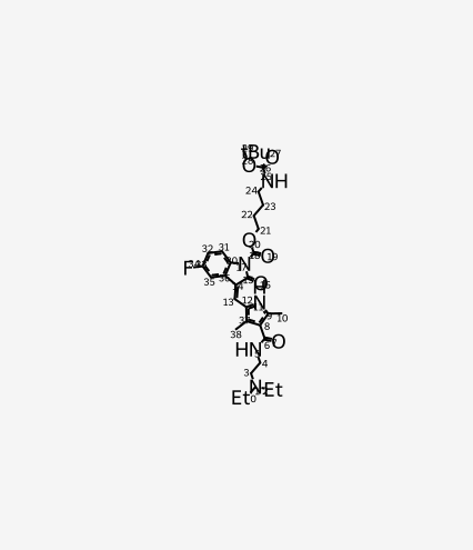 CCN(CC)CCNC(=O)c1c(C)[nH]c(C=C2C(=O)N(C(=O)OCCCCNC(=O)OC(C)(C)C)c3ccc(F)cc32)c1C